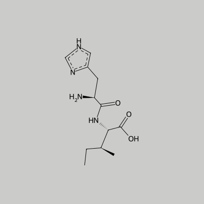 CC[C@H](C)[C@H](NC(=O)[C@@H](N)Cc1c[nH]cn1)C(=O)O